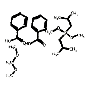 CO[SiH2]OC.CO[Si](CC(C)C)(CC(C)C)OC.O=C(O)c1ccccc1.O=C(O)c1ccccc1